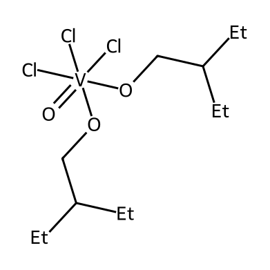 CCC(CC)C[O][V](=[O])([Cl])([Cl])([Cl])[O]CC(CC)CC